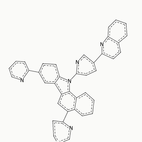 c1ccc(-c2ccc3c(c2)c2cc(-c4ccccn4)c4ccccc4c2n3-c2ccc(-c3ccc4ccccc4n3)cn2)nc1